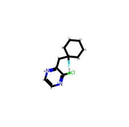 FC1(Cc2nccnc2Cl)CCCCC1